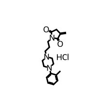 C=C1CC(=O)N(CCCN2CCN(c3ccccc3C)CC2)C1=O.Cl